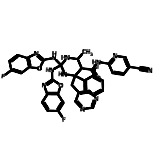 CC1NC(Nc2nc3ccc(F)cc3o2)(Nc2nc3ccc(F)cc3o2)NC(Cc2cncnc2)(c2ccccc2Cl)C1C(=O)Nc1ccc(C#N)cn1